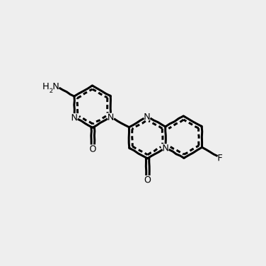 Nc1ccn(-c2cc(=O)n3cc(F)ccc3n2)c(=O)n1